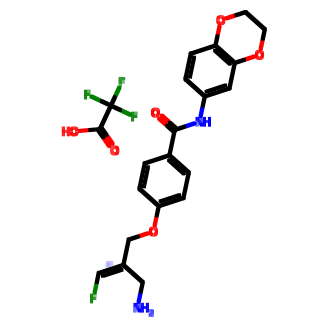 NC/C(=C\F)COc1ccc(C(=O)Nc2ccc3c(c2)OCCO3)cc1.O=C(O)C(F)(F)F